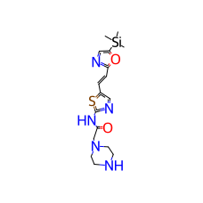 C[Si](C)(C)c1cnc(C=Cc2cnc(NC(=O)CN3CCNCC3)s2)o1